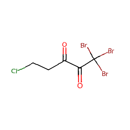 O=C(CCCl)C(=O)C(Br)(Br)Br